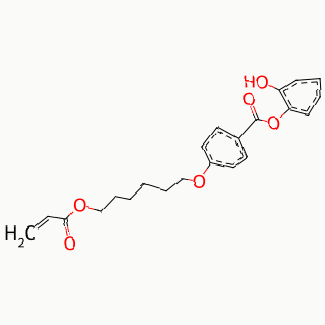 C=CC(=O)OCCCCCCOc1ccc(C(=O)Oc2ccccc2O)cc1